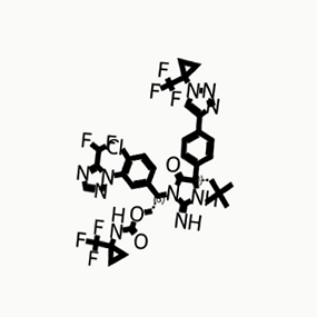 CC(C)(C)C[C@]1(c2ccc(-c3cn(C4(C(F)(F)F)CC4)nn3)cc2)NC(=N)N([C@H](COC(=O)NC2(C(F)(F)F)CC2)c2ccc(Cl)c(-n3ncnc3C(F)F)c2)C1=O